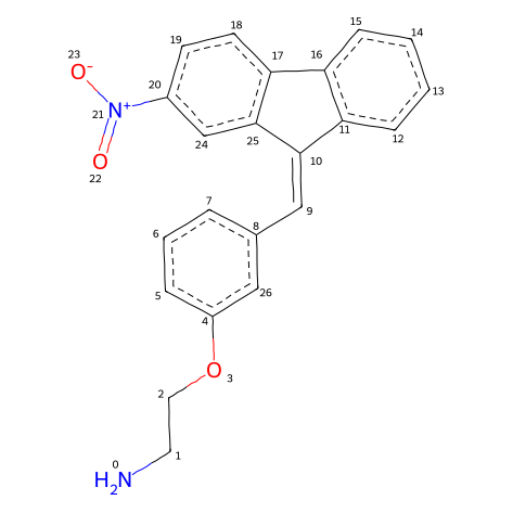 NCCOc1cccc(C=C2c3ccccc3-c3ccc([N+](=O)[O-])cc32)c1